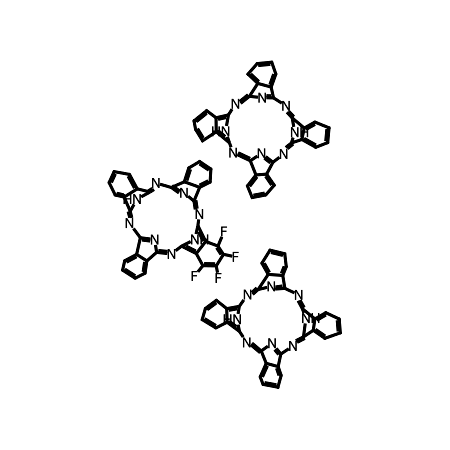 Fc1c(F)c(F)c2c3nc4nc(nc5[nH]c(nc6nc(nc([nH]3)c2c1F)-c1ccccc1-6)c1ccccc51)-c1ccccc1-4.c1ccc2c(c1)-c1nc-2nc2[nH]c(nc3nc(nc4[nH]c(n1)c1ccccc41)-c1ccccc1-3)c1ccccc21.c1ccc2c(c1)-c1nc-2nc2[nH]c(nc3nc(nc4[nH]c(n1)c1ccccc41)-c1ccccc1-3)c1ccccc21